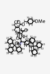 COc1ccc(COC(=O)C2=C(CCl)CS[C@H]3C(NC(=O)/C(=N\OC(c4ccccc4)(c4ccccc4)c4ccccc4)c4csc(NC(c5ccccc5)(c5ccccc5)c5ccccc5)n4)C(=O)N23)cc1